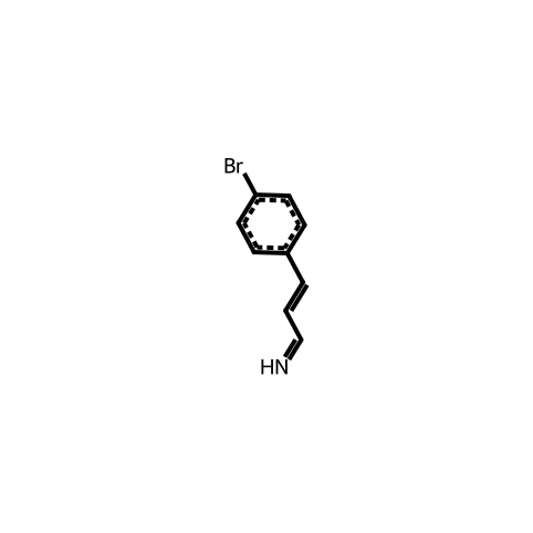 N=CC=Cc1ccc(Br)cc1